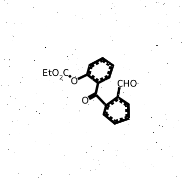 CCOC(=O)Oc1ccccc1C(=O)c1ccccc1[C]=O